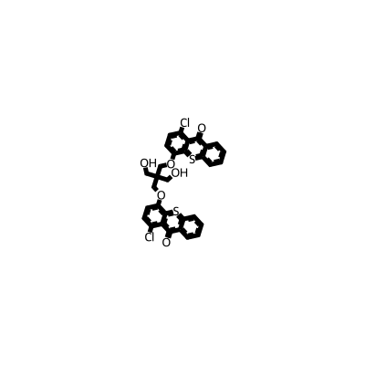 O=c1c2ccccc2sc2c(OCC(CO)(CO)COc3ccc(Cl)c4c(=O)c5ccccc5sc34)ccc(Cl)c12